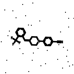 N#Cc1ccc(N2CCC(=Cc3ccccc3C(F)(F)F)CC2)cc1